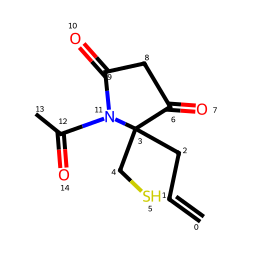 C=CCC1(CS)C(=O)CC(=O)N1C(C)=O